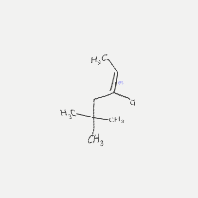 C/C=C(/Cl)CC(C)(C)C